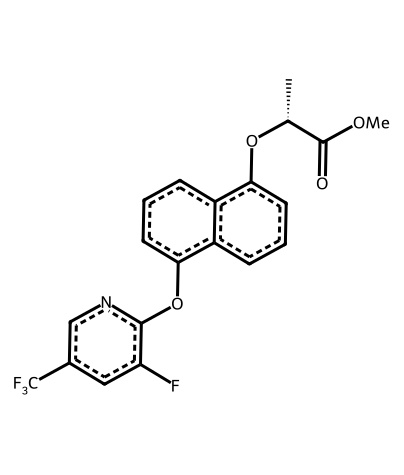 COC(=O)[C@@H](C)Oc1cccc2c(Oc3ncc(C(F)(F)F)cc3F)cccc12